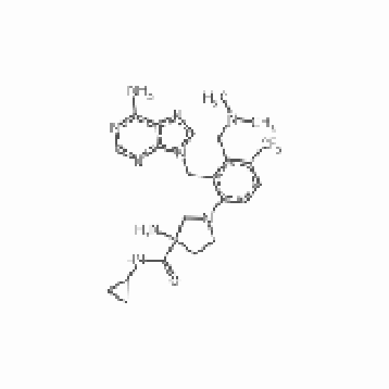 CN(C)Cc1c(C(F)(F)F)ccc(N2CC[C@](N)(C(=O)NC3CC3)C2)c1Cn1cnc2c(N)ncnc21